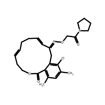 Cc1cc(C)c2c(c1Cl)CC(=N\OCC(=O)N1CCCC1)/C=C/CC/C=C/CCOC2=O